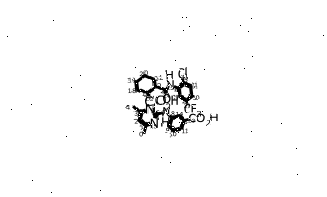 Cc1cc(C)nc(Nc2cccc(C(=O)O)c2)n1.O=C(O)C1CCCCC1C(=O)Nc1cc(C(F)(F)F)ccc1Cl